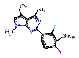 COc1c(I)ccc(-c2nc(C)c3c(C)cn(C)c3n2)c1F